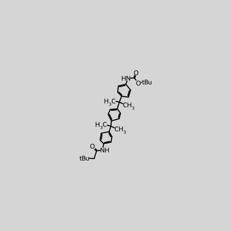 CC(C)(C)CC(=O)Nc1ccc(C(C)(C)c2ccc(C(C)(C)c3ccc(NC(=O)OC(C)(C)C)cc3)cc2)cc1